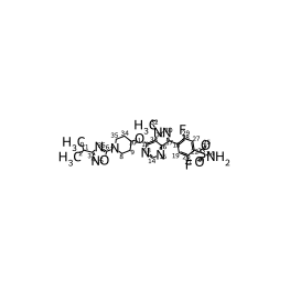 CC(C)c1noc(N2CCC(Oc3ncnc4c(-c5cc(F)c(S(N)(=O)=O)cc5F)nn(C)c34)CC2)n1